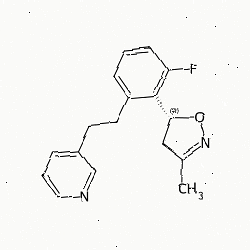 CC1=NO[C@@H](c2c(F)cccc2CCc2cccnc2)C1